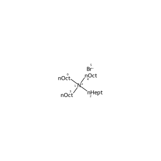 CCCCCCCC[N+](CCCCCCC)(CCCCCCCC)CCCCCCCC.[Br-]